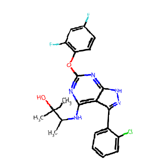 CC(Nc1nc(Oc2ccc(F)cc2F)nc2[nH]nc(-c3ccccc3Cl)c12)C(C)(C)O